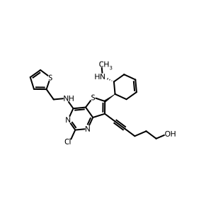 CN[C@@H]1CC=CC[C@H]1c1sc2c(NCc3cccs3)nc(Cl)nc2c1C#CCCCO